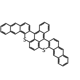 c1ccc2cc3c4c(ccc3cc2c1)-c1c2ccccc2c2c3c(ccc(c13)S4)Sc1c-2ccc2cc3ccccc3cc12